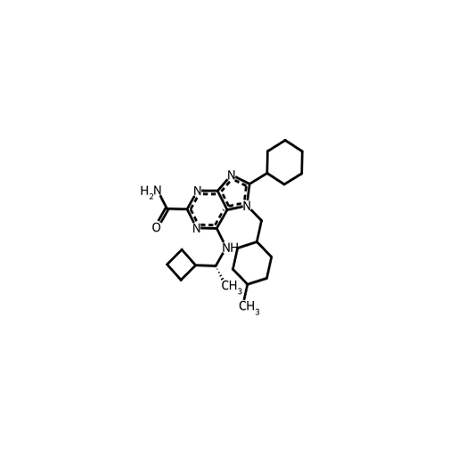 CC1CCC(Cn2c(C3CCCCC3)nc3nc(C(N)=O)nc(N[C@H](C)C4CCC4)c32)CC1